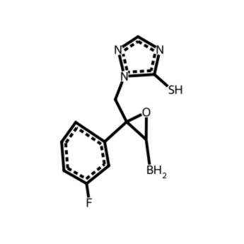 BC1OC1(Cn1ncnc1S)c1cccc(F)c1